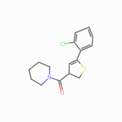 O=C(C1C=C(c2ccccc2Cl)SC1)N1CCCCC1